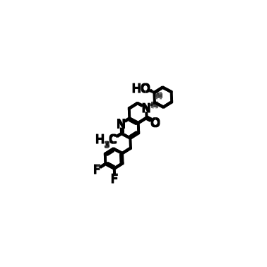 Cc1nc2c(cc1Cc1ccc(F)c(F)c1)C(=O)N([C@H]1CCCC[C@@H]1O)CC2